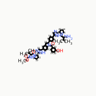 COC(=O)N[C@H](C(=O)N1CCC[C@H]1c1ncc(-c2ccc3c(c2)cc2n3C(c3cccc(O)c3)Oc3cc(-c4cnc([C@@H]5CCCN5C[C@@H](N)C(C)C)[nH]4)ccc3-2)[nH]1)C(C)C